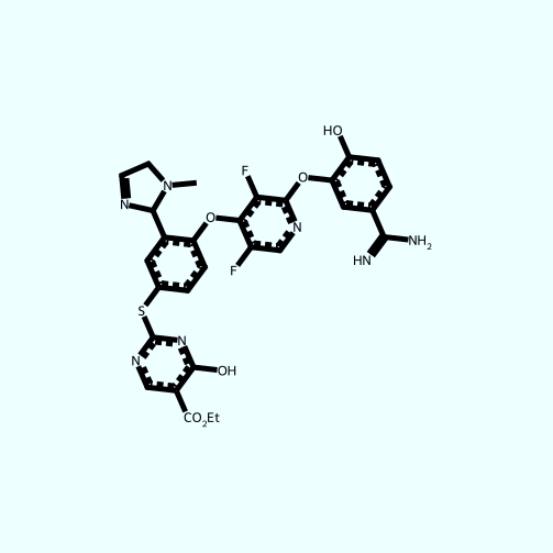 CCOC(=O)c1cnc(Sc2ccc(Oc3c(F)cnc(Oc4cc(C(=N)N)ccc4O)c3F)c(C3N=CCN3C)c2)nc1O